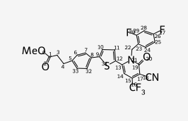 COC(=O)CCc1ccc(-c2ccc(-c3cc(C(F)(F)F)c(C#N)c(=O)n3Cc3ccc(F)cc3F)s2)cc1